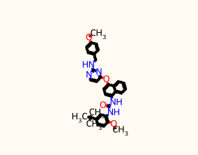 COc1ccc(CNc2nccc(Oc3ccc(NC(=O)Nc4cc(C(C)(C)C)ccc4OC)c4ccccc34)n2)cc1